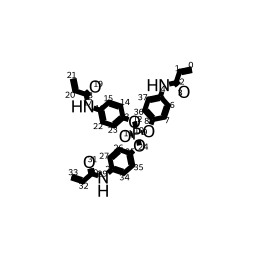 C=CC(=O)Nc1ccc(OP(=O)(Oc2ccc(NC(=O)C=C)cc2)Oc2ccc(NC(=O)C=C)cc2)cc1